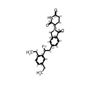 CCc1ccc(CC)c(C(F)Cc2ccc3c(c2)CN(C2CCC(=O)NC2=O)C3=O)c1